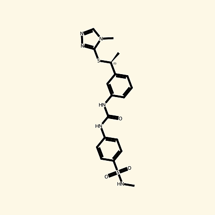 CNS(=O)(=O)c1ccc(NC(=O)Nc2cccc([C@H](C)Sc3nncn3C)c2)cc1